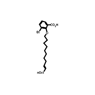 CCCCCCCCC=CCCCCCCCCOc1c(CC)cccc1C(=O)O